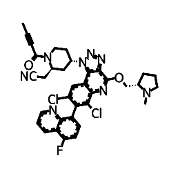 CC#CC(=O)N1CC[C@H](n2nnc3c(OC[C@@H]4CCCN4C)nc4c(Cl)c(-c5ccc(F)c6cccnc56)c(Cl)cc4c32)C[C@H]1CC#N